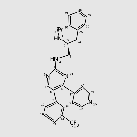 CC(C)N[C@H](CNc1ncc(-c2cccc(C(F)(F)F)c2)c(-c2ccncc2)n1)Cc1ccccc1